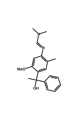 COc1cc(/N=C/N(C)C)c(C)cc1C(C)(O)c1ccccc1